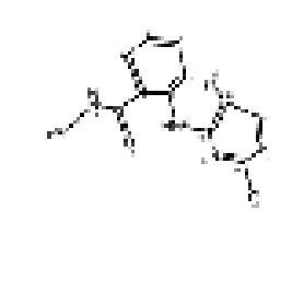 CCCNC(=O)c1ccccc1Nc1nc(Cl)ncc1Cl